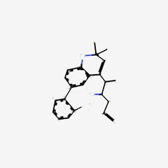 C=CCC(N)C(C)C1=CC(C)(C)Nc2ccc(-c3ccccc3OC)cc21